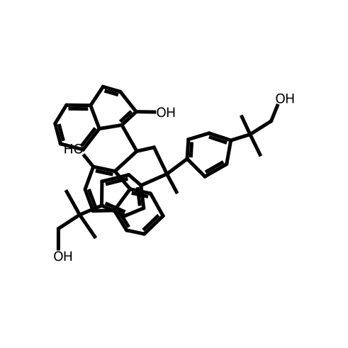 CC(C)(CO)c1ccc(C(C)(CC(c2c(O)ccc3ccccc23)c2c(O)ccc3ccccc23)c2ccc(C(C)(C)CO)cc2)cc1